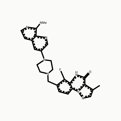 CNc1nccc2cc(N3CCN(Cc4ccc5c([nH]c(=O)c6c(C)cnn65)c4F)CC3)cnc12